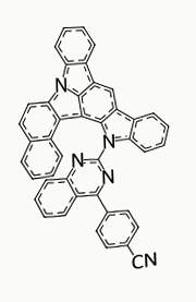 N#Cc1ccc(-c2nc(-n3c4ccccc4c4cc5c6ccccc6n6c7ccc8ccccc8c7c(c43)c56)nc3ccccc23)cc1